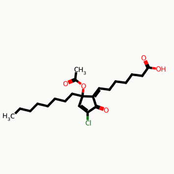 CCCCCCCCC1(OC(C)=O)C=C(Cl)C(=O)C1=CCCCCCC(=O)O